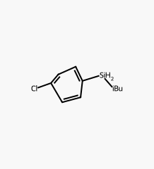 CCC(C)[SiH2]c1ccc(Cl)cc1